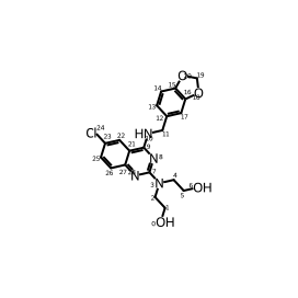 OCCN(CCO)c1nc(NCc2ccc3c(c2)OCO3)c2cc(Cl)ccc2n1